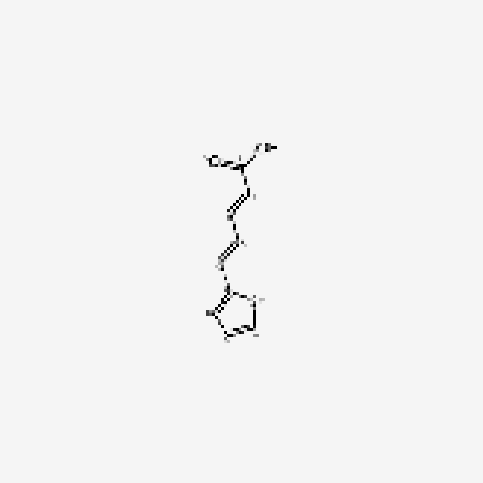 O=C(O)C=CC=Cc1cccs1